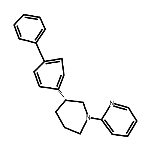 c1ccc(-c2ccc([C@H]3CCCN(c4ccccn4)C3)cc2)cc1